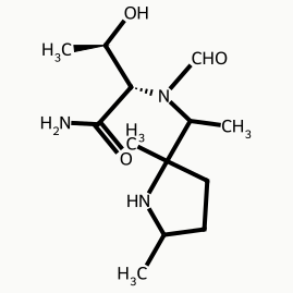 CC1CCC(C)(C(C)N(C=O)[C@H](C(N)=O)[C@@H](C)O)N1